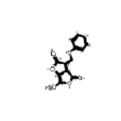 CCCCC1OC(=O)C2C(CSc3ccccc3)C(=O)OC12